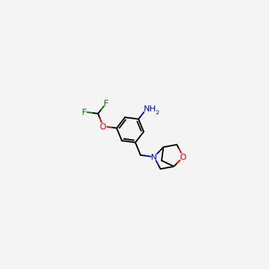 Nc1cc(CN2CC3CC2CO3)cc(OC(F)F)c1